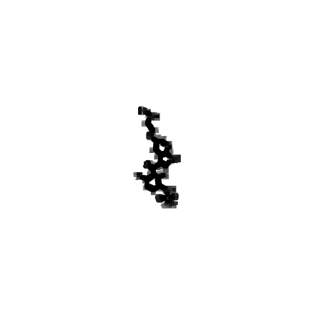 CCCS(=O)(=O)Nc1ccc(F)c(C(=O)c2c[nH]c3ncc(OCCNCC)cc23)c1F